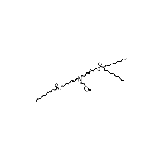 CCCCCCCCCC(=O)OCCCCCCCN(CCCCCCCOC(=O)C(CCCCCCCC)CCCCCCCC)CCOC